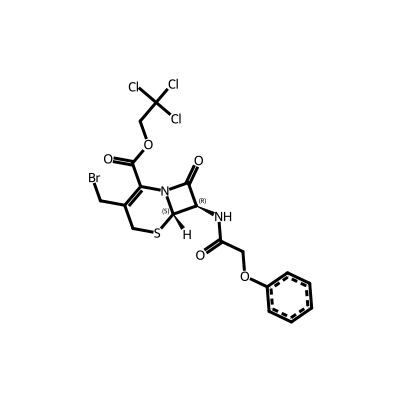 O=C(COc1ccccc1)N[C@@H]1C(=O)N2C(C(=O)OCC(Cl)(Cl)Cl)=C(CBr)CS[C@@H]12